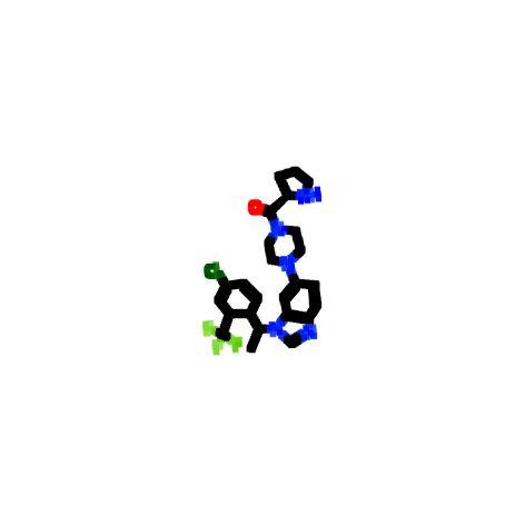 CC(C1C=CC(Cl)=CC1C(F)(F)F)n1cnc2ccc(N3CCN(C(=O)[C@H]4CCCN4)CC3)cc21